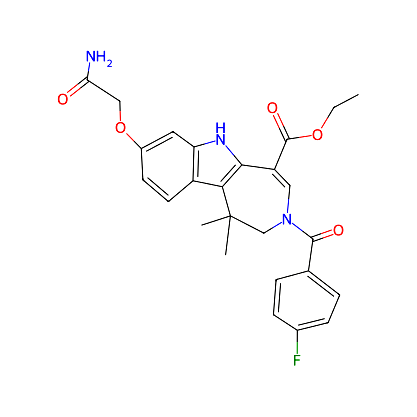 CCOC(=O)C1=CN(C(=O)c2ccc(F)cc2)CC(C)(C)c2c1[nH]c1cc(OCC(N)=O)ccc21